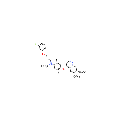 COc1cc2nccc(Oc3cc(C)c(N(CCCOc4cccc(F)c4)C(=O)O)cc3C)c2cc1OC